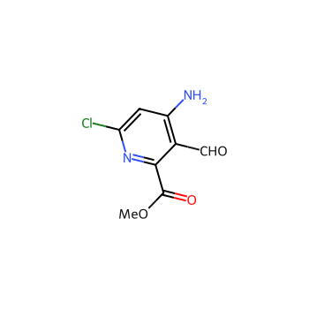 COC(=O)c1nc(Cl)cc(N)c1C=O